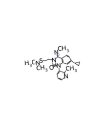 C/N=C(/NCCSN(C)C)c1ccc(C2CC2)cc1N(C=O)c1cccnc1C